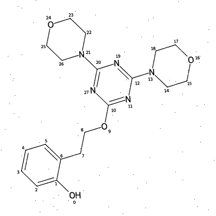 Oc1ccccc1CCOc1nc(N2CCOCC2)nc(N2CCOCC2)n1